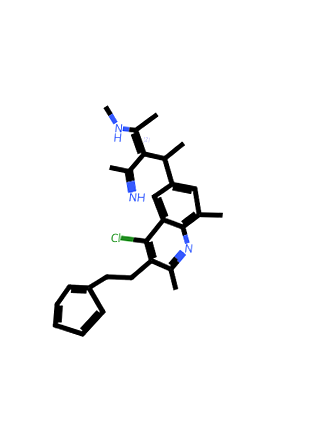 CN/C(C)=C(\C(C)=N)C(C)c1cc(C)c2nc(C)c(CCc3ccccc3)c(Cl)c2c1